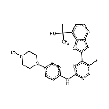 CCN1CCN(c2ccc(Nc3ncc(F)c(-c4cc5nccc(C(C)(O)C(F)(F)F)c5s4)n3)nc2)CC1